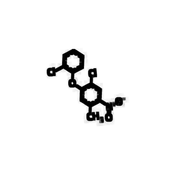 Cc1cc(Oc2ccccc2Cl)c(Cl)cc1[N+](=O)[O-]